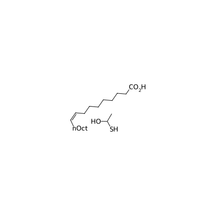 CC(O)S.CCCCCCCC/C=C\CCCCCCCC(=O)O